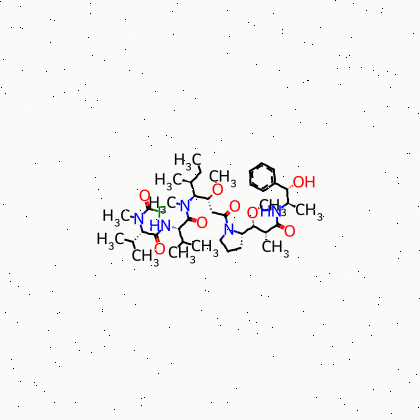 CC[C@H](C)[C@@H]([C@@H](CC(=O)N1CCC[C@H]1[C@H](OC)[C@@H](C)C(=O)N[C@H](C)[C@@H](O)c1ccccc1)OC)N(C)C(=O)[C@@H](NC(=O)[C@H](C(C)C)N(C)C(=O)F)C(C)C